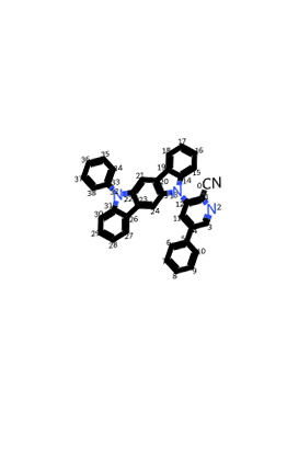 N#Cc1ncc(-c2ccccc2)cc1-n1c2ccccc2c2cc3c(cc21)c1ccccc1n3-c1ccccc1